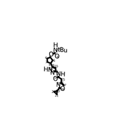 CC(C)(C)NC(=O)OC1CCC(c2cc(NC(=O)Cc3coc(C4CC4)n3)n[nH]2)C1